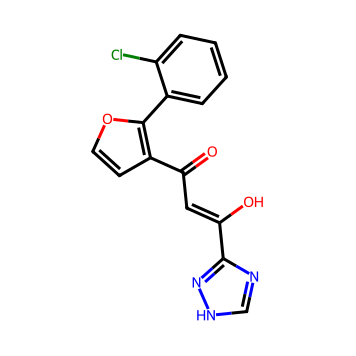 O=C(C=C(O)c1nc[nH]n1)c1ccoc1-c1ccccc1Cl